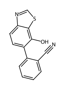 N#Cc1ccccc1-c1ccc2ncsc2c1O